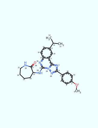 COc1ccc(-c2nc3c4cc(C(C)C)ccc4nc(NC4CCCCNC4=O)n3n2)cc1